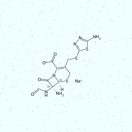 Nc1nnc(SCC2=C(C(=O)[O-])N3C(=O)[C@](N)(NC=O)[C@@H]3SC2)s1.[Na+]